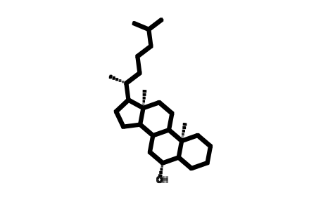 CC(C)CCC[C@@H](C)C1CCC2C3C[C@@H](O)C4CCCC[C@]4(C)C3CC[C@@]21C